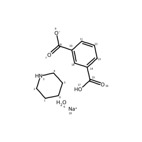 C1CCNCC1.O.O=C([O-])c1cccc(C(=O)O)c1.[Na+]